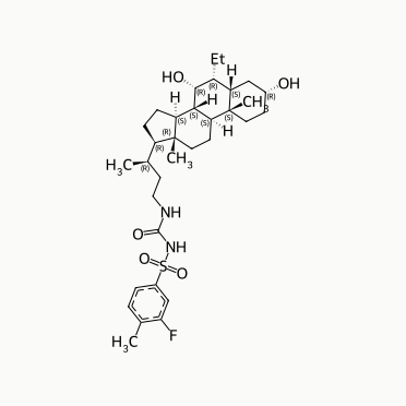 CC[C@H]1[C@@H](O)[C@@H]2[C@H](CC[C@]3(C)[C@@H]([C@H](C)CCNC(=O)NS(=O)(=O)c4ccc(C)c(F)c4)CC[C@@H]23)[C@@]2(C)CC[C@@H](O)C[C@@H]12